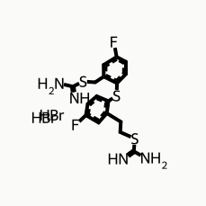 Br.Br.N=C(N)SCCc1cc(F)ccc1Sc1ccc(F)cc1CSC(=N)N